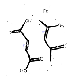 CC(=O)/C=C(/C)O.O=C(O)/C=C/C(=O)O.[Fe]